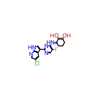 O[C@H]1[C@@H](O)CCC[C@H]1Nc1nc(-c2c[nH]c3ncc(Cl)cc23)ncc1F